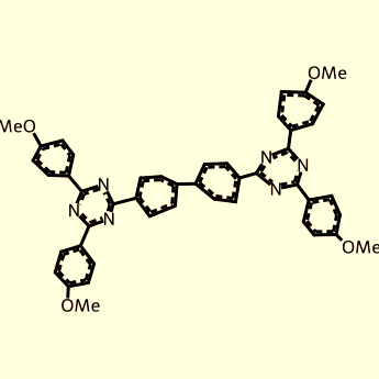 COc1ccc(-c2nc(-c3ccc(OC)cc3)nc(-c3ccc(-c4ccc(-c5nc(-c6ccc(OC)cc6)nc(-c6ccc(OC)cc6)n5)cc4)cc3)n2)cc1